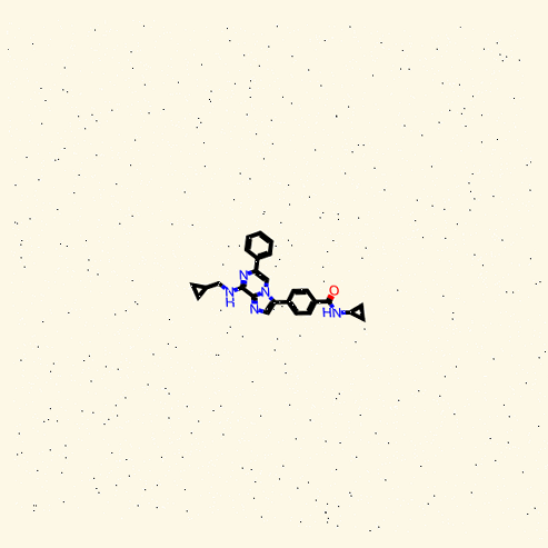 O=C(NC1CC1)c1ccc(-c2cnc3c(NCC4CC4)nc(-c4ccccc4)cn23)cc1